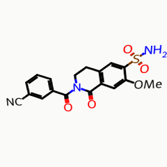 COc1cc2c(cc1S(N)(=O)=O)CCN(C(=O)c1cccc(C#N)c1)C2=O